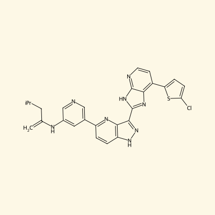 C=C(CC(C)C)Nc1cncc(-c2ccc3[nH]nc(-c4nc5c(-c6ccc(Cl)s6)ccnc5[nH]4)c3n2)c1